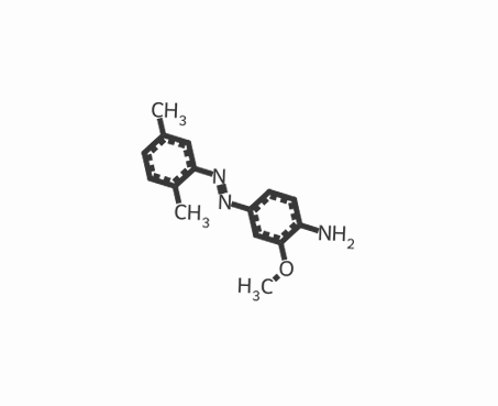 COc1cc(/N=N/c2cc(C)ccc2C)ccc1N